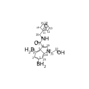 Bc1cc(B)c2c(C(=O)NCC34CCC(CC3)CC4)cn(CCO)c2c1